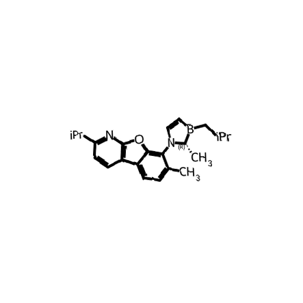 Cc1ccc2c(oc3nc(C(C)C)ccc32)c1N1C=CB(CC(C)C)[C@@H]1C